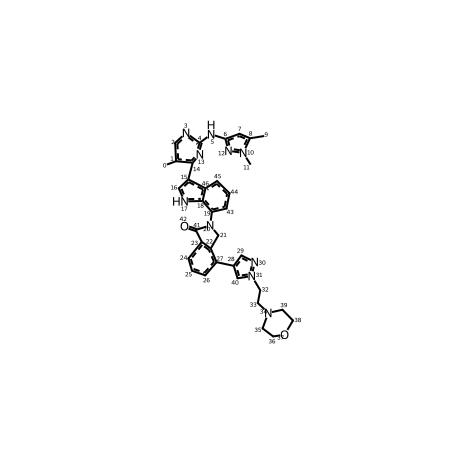 Cc1cnc(Nc2cc(C)n(C)n2)nc1-c1c[nH]c2c(N3Cc4c(cccc4-c4cnn(CCN5CCOCC5)c4)C3=O)cccc12